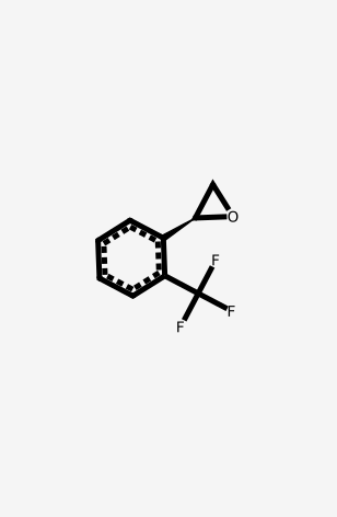 FC(F)(F)c1ccccc1[C@H]1CO1